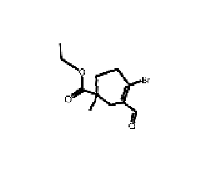 CCOC(=O)C1(C)CCC(Br)=C(C=O)C1